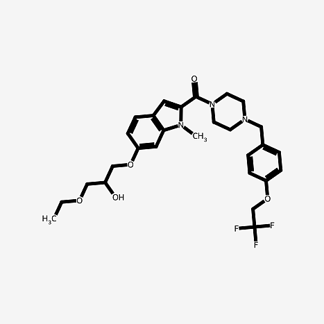 CCOCC(O)COc1ccc2cc(C(=O)N3CCN(Cc4ccc(OCC(F)(F)F)cc4)CC3)n(C)c2c1